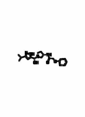 CC(C)c1cc(C(O)N2CCC(NC(=O)COc3ccccc3)C2)[nH]n1